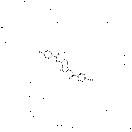 O=C(OC1COC2C(OC(=O)c3ccc(F)cc3)COC12)c1ccc(O)cc1